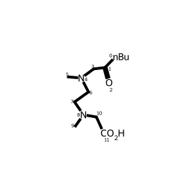 CCCCC(=O)CN(C)CCN(C)CC(=O)O